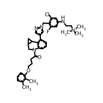 Cc1cccc(OCCCC(=O)N2CC3CC3c3c(-c4cnn(Cc5c(F)cc(NCC[N+](C)(C)C)cc5Cl)c4)cccc32)c1C